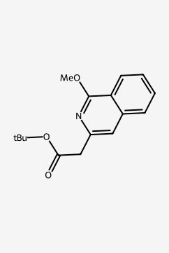 COc1nc(CC(=O)OC(C)(C)C)cc2ccccc12